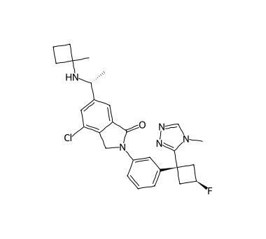 C[C@@H](NC1(C)CCC1)c1cc(Cl)c2c(c1)C(=O)N(c1cccc([C@]3(c4nncn4C)C[C@H](F)C3)c1)C2